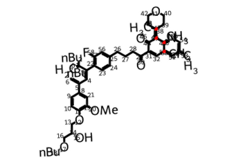 C=C(CCCC)/C(=C\C(=C/CCCC)c1ccc(OC[C@H](O)COCCCC)c(OC)c1)c1ccc(CCCC(=O)/C(=C/C(C)C(C)CC2CCOCC2)C(=O)/C(=C\C)c2ccc(C)cn2)cc1F